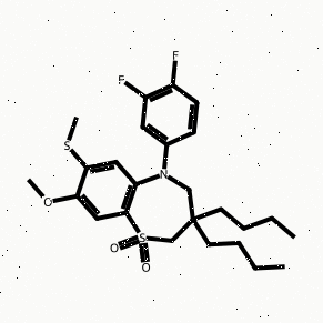 CCCCC1(CCCC)CN(c2ccc(F)c(F)c2)c2cc(SC)c(OC)cc2S(=O)(=O)C1